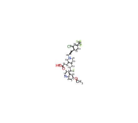 COc1ccc2nccc([C@@H](F)CCC3CCN(CC#Cc4ccc(C(F)(F)F)cc4Cl)CC3CCC(=O)O)c2c1